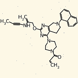 C=CC(=O)N1CCN(c2nc(OCC(=C)NC#CC)nc3c2CCN(c2cccc4ccccc24)C3)CC1